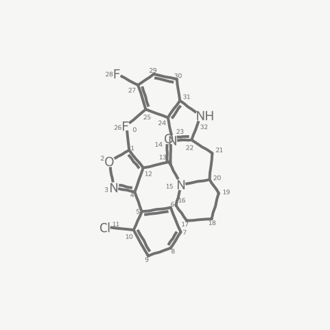 Cc1onc(-c2ccccc2Cl)c1C(=O)N1CCCCC1Cc1nc2c(F)c(F)ccc2[nH]1